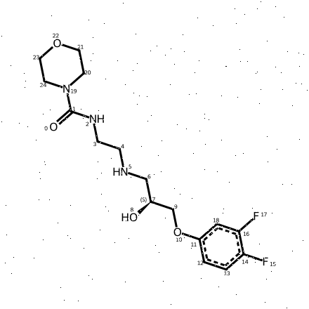 O=C(NCCNC[C@H](O)COc1ccc(F)c(F)c1)N1CCOCC1